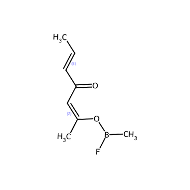 C/C=C/C(=O)/C=C(/C)OB(C)F